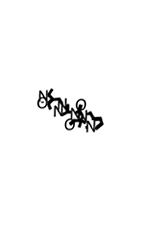 Cc1noc(C)c1Cn1cc(N2C(=O)N(Cc3cccn3C)C(C)(C)C2=O)cn1